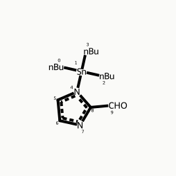 CCC[CH2][Sn]([CH2]CCC)([CH2]CCC)[n]1ccnc1C=O